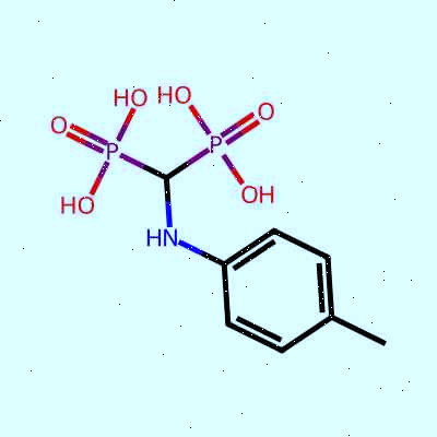 Cc1ccc(NC(P(=O)(O)O)P(=O)(O)O)cc1